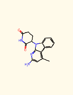 Cc1cc(N)nc2c1c1ccccc1n2C1CCC(=O)NC1=O